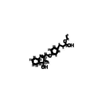 CCOC(O)CCc1ccc(OCC2=Nc3ccccc3C(O)N2C)cc1